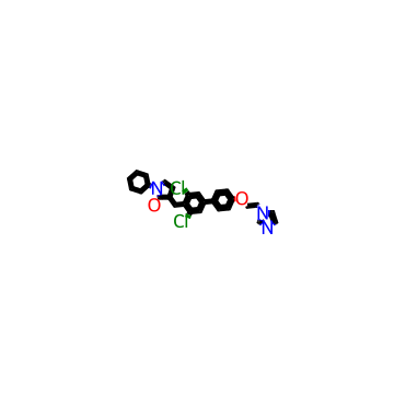 O=C1C(Cc2c(Cl)cc(-c3ccc(OCCn4ccnc4)cc3)cc2Cl)CCN1C1CCCCC1